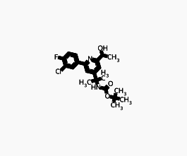 CC(O)c1cc(C(C)(C)NC(=O)OC(C)(C)C)cc(-c2ccc(F)c(Cl)c2)n1